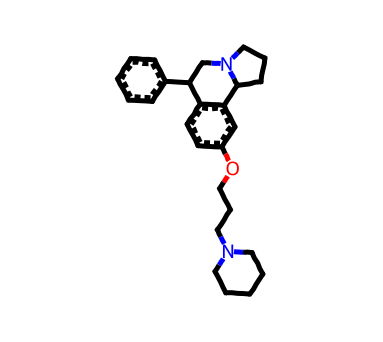 c1ccc(C2CN3CCCC3c3cc(OCCCN4CCCCC4)ccc32)cc1